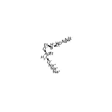 CC(=O)[O-].CC[BH-](CC)CC.C[O-].[H-].[Na+].[Na+].[Na+].[Na+].[Na+].[OH-]